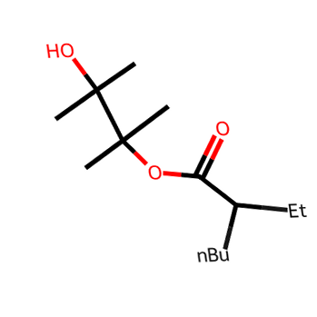 CCCCC(CC)C(=O)OC(C)(C)C(C)(C)O